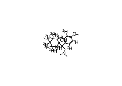 [2H]c1c([2H])c(C([2H])(CN(C)C)C2(O)C([2H])([2H])C([2H])([2H])C([2H])([2H])C([2H])([2H])C2([2H])[2H])c([2H])c([2H])c1OC